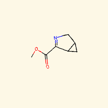 COC(=O)C1=NCC2CC12